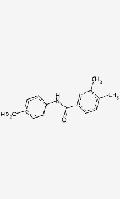 Cc1ccc(C(=O)Nc2ccc(C(=O)O)cc2)cc1C